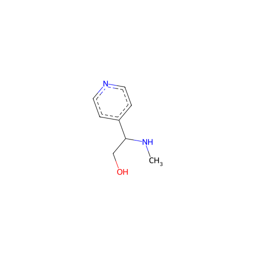 CNC(CO)c1ccncc1